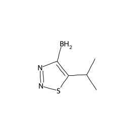 Bc1nnsc1C(C)C